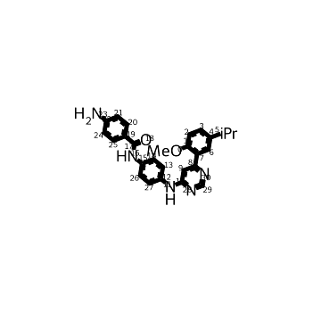 COc1ccc(C(C)C)cc1-c1cc(Nc2ccc(NC(=O)c3ccc(N)cc3)cc2)ncn1